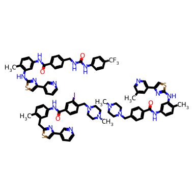 Cc1ccc(NC(=O)c2ccc(CN3CCN(C)CC3)c(I)c2)cc1Cc1nc(-c2cccnc2)cs1.Cc1ccc(NC(=O)c2ccc(CNC(=O)Nc3ccc(C(F)(F)F)cc3)cc2)cc1Nc1nc(-c2cccnc2)cs1.Cc1cncc(-c2csc(Nc3cc(NC(=O)c4ccc(CN5CCN(C)CC5)cc4)ccc3C)n2)c1